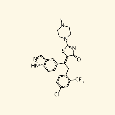 CN1CCN(C2=NC(=O)C(=C(Cc3ccc(Cl)cc3C(F)(F)F)c3ccc4[nH]ncc4c3)S2)CC1